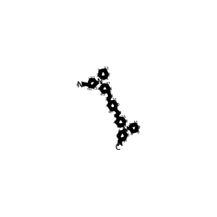 [C-]#[N+]c1ccc(N(c2ccccc2)c2ccc(C=Cc3ccc(C=Cc4ccc(N(c5ccccc5)c5ccc(C#N)cc5)cc4)cc3)cc2)cc1